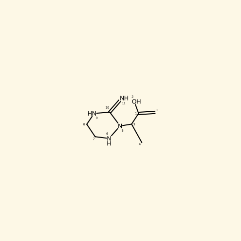 C=C(O)C(C)N1NCCNC1=N